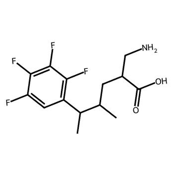 CC(CC(CN)C(=O)O)C(C)c1cc(F)c(F)c(F)c1F